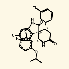 CC(C)Oc1ccc(F)c(F)c1[C@H]1NC(=O)C[C@@H](C2C=CC=C(Cl)C2)[C@]12C(=O)Nc1cc(Cl)ccc12